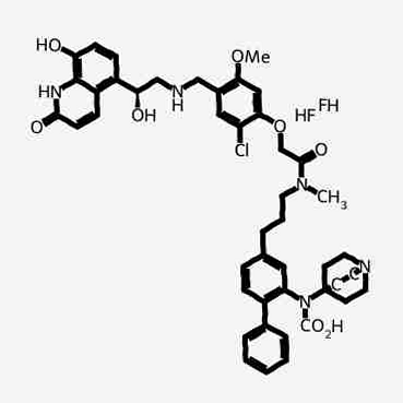 COc1cc(OCC(=O)N(C)CCCc2ccc(-c3ccccc3)c(N(C(=O)O)C34CCN(CC3)CC4)c2)c(Cl)cc1CNC[C@@H](O)c1ccc(O)c2[nH]c(=O)ccc12.F.F